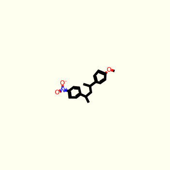 COc1ccc(C(C)CC(C)c2ccc([N+](=O)[O-])cc2)cc1